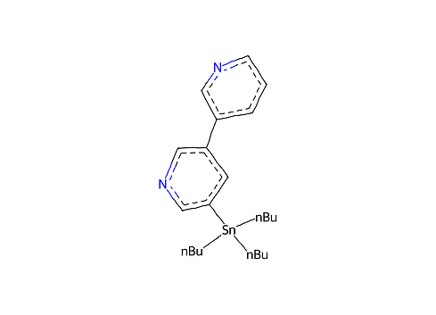 CCC[CH2][Sn]([CH2]CCC)([CH2]CCC)[c]1cncc(-c2cccnc2)c1